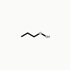 [CH2]CCOO